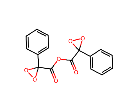 O=C(OC(=O)C1(c2ccccc2)OO1)C1(c2ccccc2)OO1